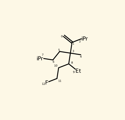 C=C(C(C)C)C(C)(CCC(C)C)C(CC)CCF